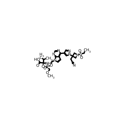 CCS(=O)(=O)N1CC(CC#N)(n2cc(-c3ncnc4c3ccn4COP(=O)(COC)N[C@](C)(C(=O)O)C(C)C)cn2)C1